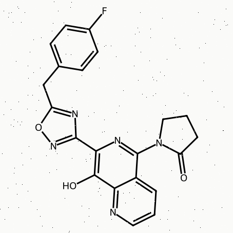 O=C1CCCN1c1nc(-c2noc(Cc3ccc(F)cc3)n2)c(O)c2ncccc12